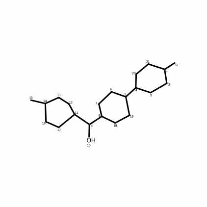 CC1CCC(C2CCC(C(O)C3CCC(C)CC3)CC2)CC1